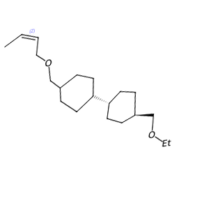 C/C=C\COCC1CCC([C@H]2CC[C@H](COCC)CC2)CC1